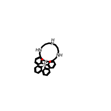 c1cc[c]([Ti]([c]2ccccc2)([c]2ccccc2)([c]2ccccc2)[N]2CCCNCCCNCCCNCCC2)cc1